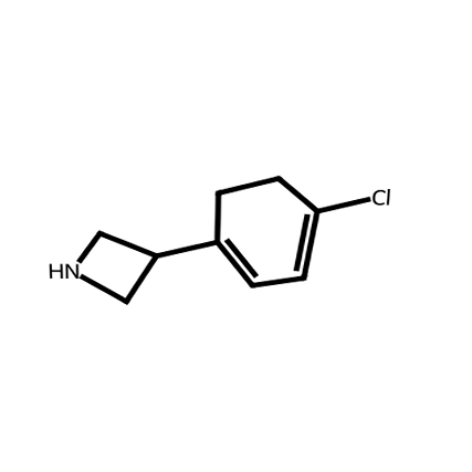 ClC1=CC=C(C2CNC2)CC1